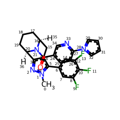 Cn1nc2c(c1-c1cc(F)c(F)c(F)c1)C[C@@H]1CCC[C@H]2N1C(=O)c1ccc(-n2cccc2)nc1